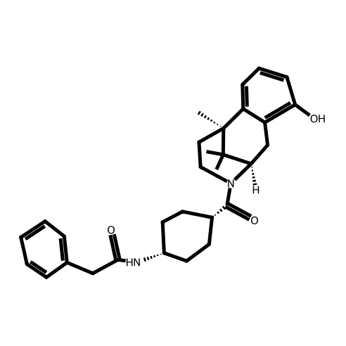 CC1(C)[C@H]2Cc3c(O)cccc3[C@]1(C)CCN2C(=O)[C@H]1CC[C@@H](NC(=O)Cc2ccccc2)CC1